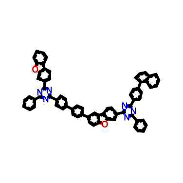 c1ccc(-c2nc(-c3ccc(-c4ccc(-c5ccc6oc7cc(-c8nc(-c9ccccc9)nc(-c9ccc(-c%10cccc%11ccccc%10%11)cc9)n8)ccc7c6c5)cc4)cc3)nc(-c3ccc4c(c3)oc3ccccc34)n2)cc1